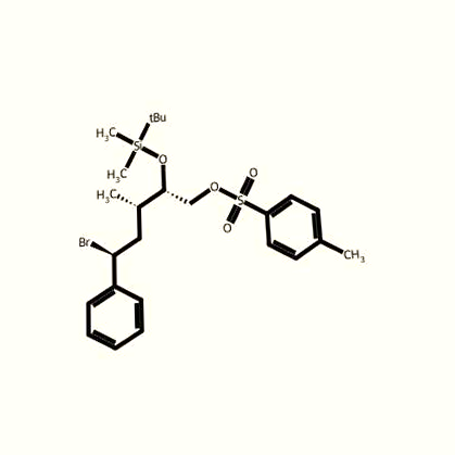 Cc1ccc(S(=O)(=O)OC[C@@H](O[Si](C)(C)C(C)(C)C)[C@@H](C)C[C@H](Br)c2ccccc2)cc1